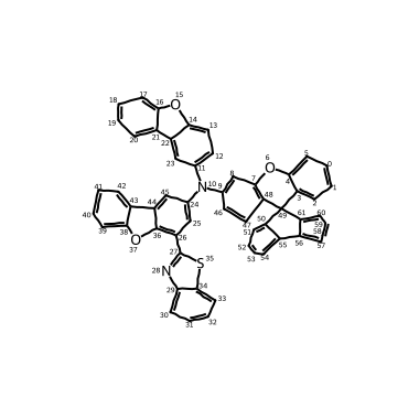 c1ccc2c(c1)Oc1cc(N(c3ccc4oc5ccccc5c4c3)c3cc(-c4nc5ccccc5s4)c4oc5ccccc5c4c3)ccc1C21c2ccccc2-c2ccccc21